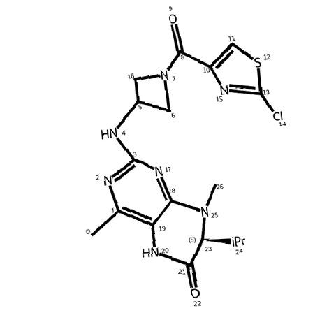 Cc1nc(NC2CN(C(=O)c3csc(Cl)n3)C2)nc2c1NC(=O)[C@H](C(C)C)N2C